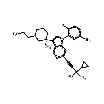 CC(O)(C#Cc1cc2c(cn1)c([C@]1(C)CCCN(CCC(F)(F)F)C1)cn2-c1nc(N)ncc1F)C1CC1